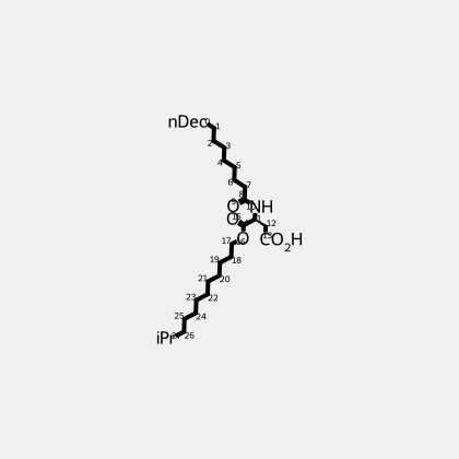 CCCCCCCCCCCCCCCCCC(=O)N[C@@H](CC(=O)O)C(=O)OCCCCCCCCCCC(C)C